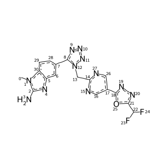 Cn1c(N)nc2cc(-c3nnnn3Cc3ncc(-c4nnc(C(F)F)o4)cn3)ccc21